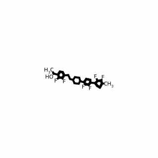 Cc1ccc(-c2ccc(C3CCC(CCc4ccc(C(C)O)c(F)c4F)CC3)c(F)c2F)c(F)c1F